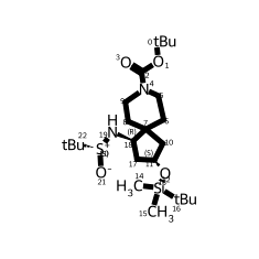 CC(C)(C)OC(=O)N1CCC2(CC1)C[C@H](O[Si](C)(C)C(C)(C)C)C[C@H]2N[S@+]([O-])C(C)(C)C